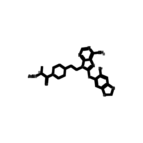 CC(=O)N[C@@H](C)C(=O)N1CCC(CCn2c(Sc3cc4c(cc3Br)OCO4)nc3c(N)ncnc32)CC1